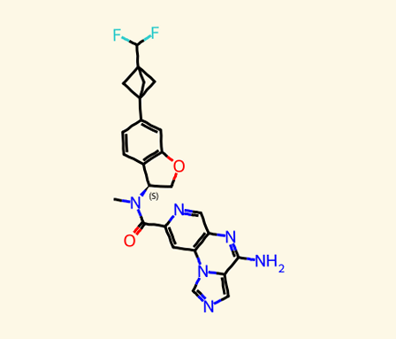 CN(C(=O)c1cc2c(cn1)nc(N)c1cncn12)[C@@H]1COc2cc(C34CC(C(F)F)(C3)C4)ccc21